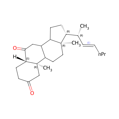 CCC/C=C/[C@@H](C)[C@H]1CCC2C3CC(=O)[C@H]4CCC(=O)C[C@]4(C)C3CC[C@@]21C